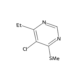 CCc1ncnc(SC)c1Cl